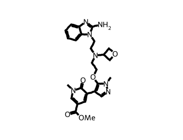 COC(=O)c1cc(-c2cnn(C)c2OCCN(CCn2c(N)nc3ccccc32)C2COC2)c(=O)n(C)c1